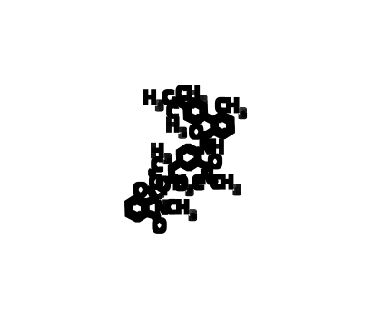 CCOC(=O)[C@]1(COC(=O)CC2C=C(C(=O)N(C)C)C(NC(=O)c3cccc(C)c3-c3ccc(C(C)(C)C)cc3)=CC2)c2ccccc2C(=O)N1C